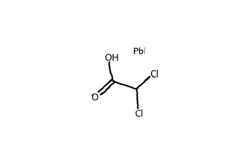 O=C(O)C(Cl)Cl.[Pb]